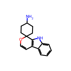 NC1CCC2(CC1)OC=Cc1c2[nH]c2ccccc12